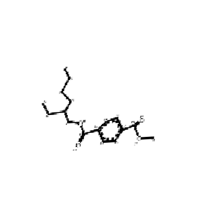 CCCCC(CC)COC(=O)c1ccc(C(=O)OC)cc1